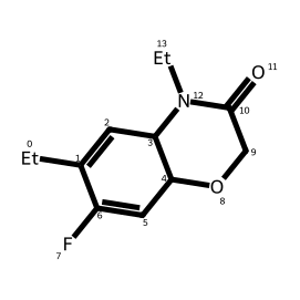 [CH2]CC1=CC2C(C=C1F)OCC(=O)N2CC